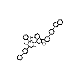 CCC1C(c2ccc(-c3ccccc3)cc2)=C=C(C)C(c2cc3oc4ccc(-c5ccc(-c6ccc7ccccc7c6)cc5)cc4c3c3ccccc23)NC1c1ccccc1